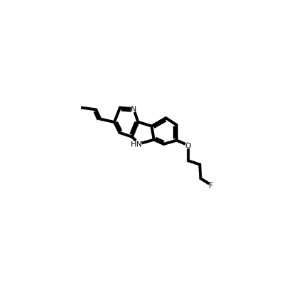 CC=Cc1cnc2c(c1)[nH]c1cc(OCCCF)ccc12